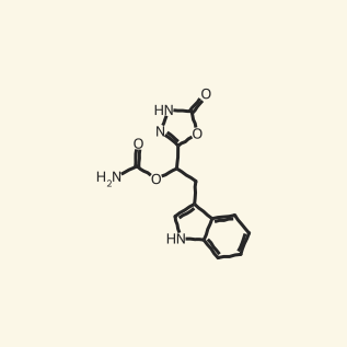 NC(=O)OC(Cc1c[nH]c2ccccc12)c1n[nH]c(=O)o1